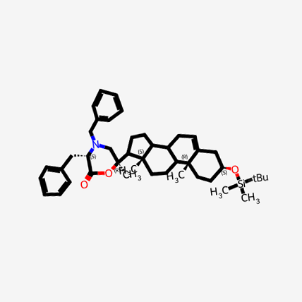 CC(C)(C)[Si](C)(C)O[C@H]1CC[C@@]2(C)C(=CCC3C4CCC([C@]5(C)CN(Cc6ccccc6)[C@@H](Cc6ccccc6)C(=O)O5)[C@@]4(C)CCC32)C1